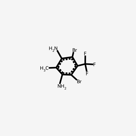 Cc1c(N)c(Br)c(C(F)(F)F)c(Br)c1N